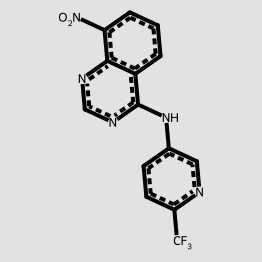 O=[N+]([O-])c1cccc2c(Nc3ccc(C(F)(F)F)nc3)ncnc12